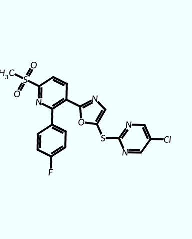 CS(=O)(=O)c1ccc(-c2ncc(Sc3ncc(Cl)cn3)o2)c(-c2ccc(F)cc2)n1